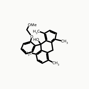 COCOc1ccccc1C1(O)c2c(C)ccc(C)c2Cc2c(C)ccc(C)c21